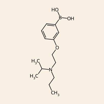 CCCN(CCOc1cccc(B(O)O)c1)C(C)C